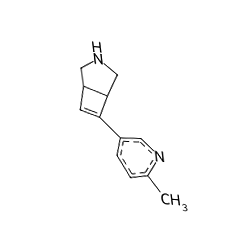 Cc1ccc(C2=CC3CNCC23)cn1